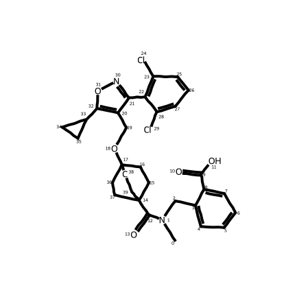 CN(Cc1ccccc1C(=O)O)C(=O)C12CCC(OCc3c(-c4c(Cl)cccc4Cl)noc3C3CC3)(CC1)CC2